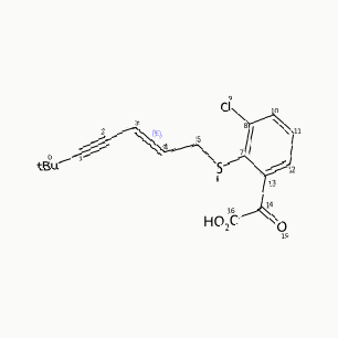 CC(C)(C)C#C/C=C/CSc1c(Cl)cccc1C(=O)C(=O)O